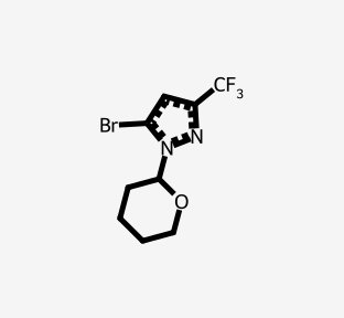 FC(F)(F)c1cc(Br)n(C2CCCCO2)n1